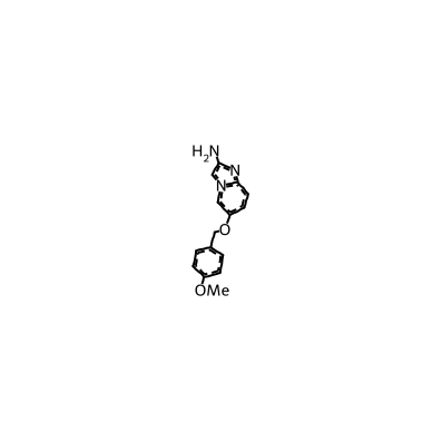 COc1ccc(COc2ccc3nc(N)cn3c2)cc1